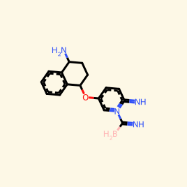 BC(=N)n1cc(OC2CCC(N)c3ccccc32)ccc1=N